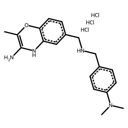 CC1=C(N)Nc2cc(CNCc3ccc(N(C)C)cc3)ccc2O1.Cl.Cl.Cl